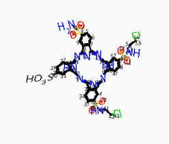 NS(=O)(=O)c1ccc2c(c1)-c1nc-2nc2[nH]c(nc3nc(nc4[nH]c(n1)c1ccc(S(=O)(=O)O)cc41)-c1ccc(S(=O)(=O)NCCCl)cc1-3)c1ccc(S(=O)(=O)NCCCl)cc21